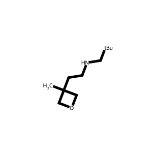 CC(C)(C)CNCCC1(C)COC1